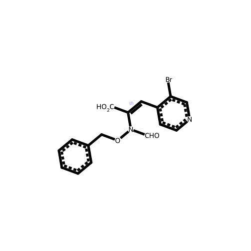 O=CN(OCc1ccccc1)/C(=C\c1ccncc1Br)C(=O)O